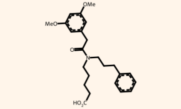 COc1cc(CC(=O)N(CCCCC(=O)O)CCCc2ccccc2)cc(OC)c1